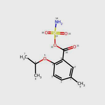 Cc1ccc(OC(C)C)c(C(=O)OS(N)(=O)=O)c1